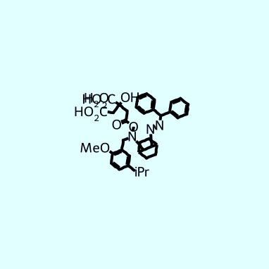 COc1ccc(C(C)C)cc1CN(OC(=O)CC(O)(CC(=O)O)C(=O)O)C1C2CCC(CC2)C1N=NC(c1ccccc1)c1ccccc1.O